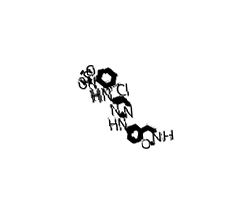 CS(=O)(=O)N[C@@H]1CCCC[C@H]1Nc1nc(Nc2ccc3c(c2)CCNCO3)ncc1Cl